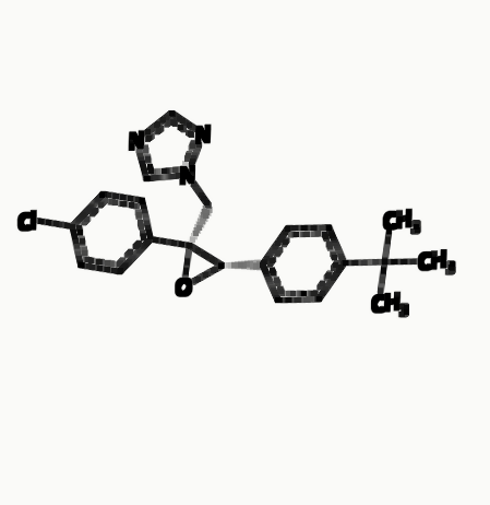 CC(C)(C)c1ccc([C@@H]2O[C@@]2(Cn2cncn2)c2ccc(Cl)cc2)cc1